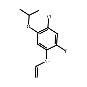 C=CNc1cc(OC(C)C)c(Cl)cc1F